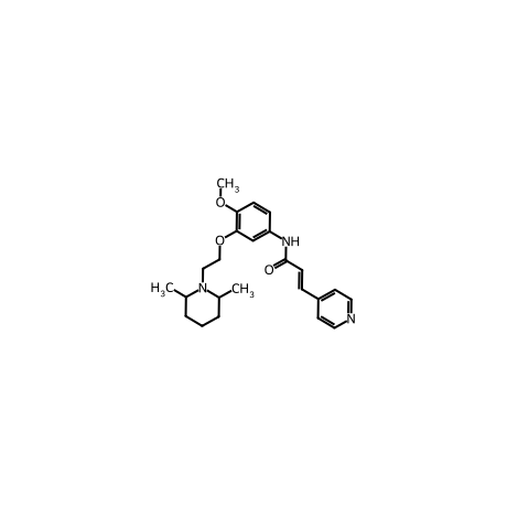 COc1ccc(NC(=O)C=Cc2ccncc2)cc1OCCN1C(C)CCCC1C